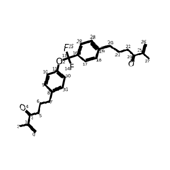 C=C(C)C(=O)CCCc1ccc(OC(F)(F)c2ccc(CCCC(=O)C(=C)C)cc2)cc1